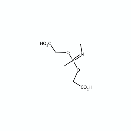 CN=P(C)(OCC(=O)O)OCC(=O)O